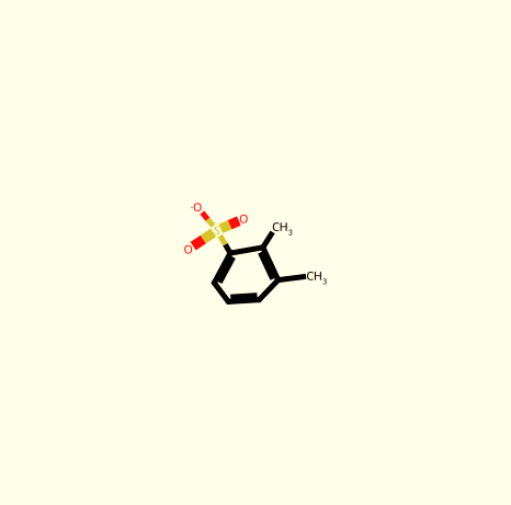 Cc1cccc(S([O])(=O)=O)c1C